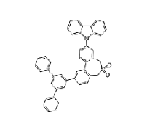 O=S1(=O)Cc2cc(-n3c4ccccc4c4ccccc43)ccc2-c2cc(-c3cc(-c4ccccc4)cc(-c4ccccc4)c3)ccc2C1